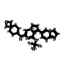 [2H]C([2H])([2H])Oc1nc(NC2CCC3(CC2)COC3)nn2ccc(-c3cnc4nccn4c3)c12